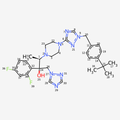 C[C@@H](N1CCN(c2ncn(Cc3ccc(C(C)(C)C)cc3)n2)CC1)[C@](O)(Cn1cncn1)c1ccc(F)cc1F